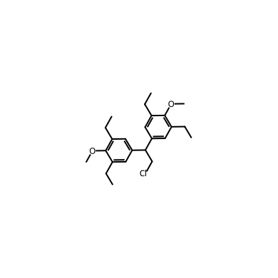 CCc1cc(C(CCl)c2cc(CC)c(OC)c(CC)c2)cc(CC)c1OC